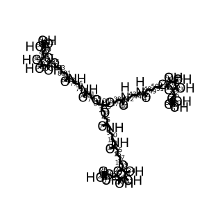 CC(COCCC(=O)NCCCNC(=O)CCCCOC1OC(COP(=O)(O)O)C(O)C(O)C1O)(COCCC(=O)NCCCNC(=O)CCCCOC1OC(COP(=O)(O)O)C(O)C(O)C1O)COCCC(=O)NCCCNC(=O)CCCCOC1OC(COP(=O)(O)O)[C@H](O)C(O)C1O